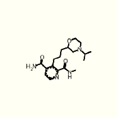 CNC(=O)c1nccc(C(N)=O)c1CCCC1CN(C(C)C)CCO1